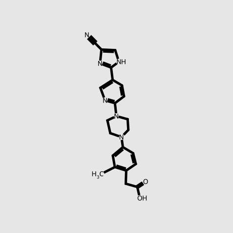 Cc1cc(N2CCN(c3ccc(-c4nc(C#N)c[nH]4)cn3)CC2)ccc1CC(=O)O